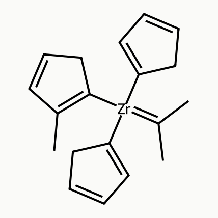 CC1=[C]([Zr]([C]2=CC=CC2)([C]2=CC=CC2)=[C](C)C)CC=C1